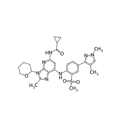 Cc1cn(C)nc1-c1ccc(Nc2cc(NC(=O)C3CC3)nc3c2nc(C)n3C2CCCCO2)c(S(C)(=O)=O)c1